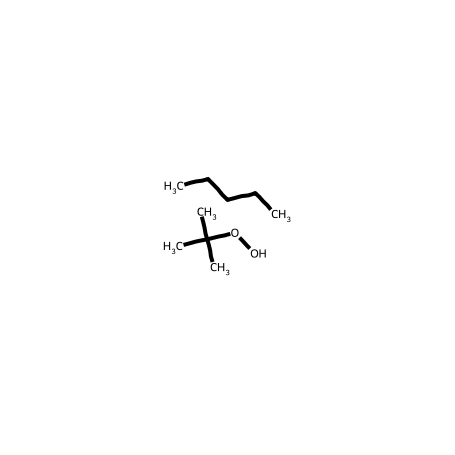 CC(C)(C)OO.CCCCC